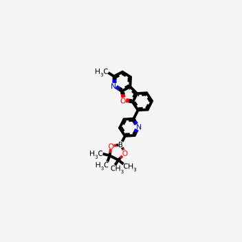 Cc1ccc2c(n1)oc1c(-c3ccc(B4OC(C)(C)C(C)(C)O4)cn3)cccc12